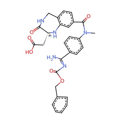 CN(C(=O)c1ccc2c(c1)N[C@H](CC(=O)O)C(=O)NC2)c1ccc(C(N)=NC(=O)OCc2ccccc2)cc1